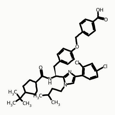 CC(C)CCn1cc(-c2ccc(Cl)cc2Cl)nc1[C@H](Cc1ccc(OCc2ccc(C(=O)O)cc2)cc1)NC(=O)C1CCC(C(C)(C)C)CC1